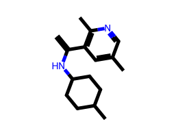 C=C(NC1CCC(C)CC1)c1cc(C)cnc1C